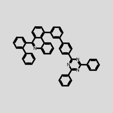 c1ccc(-c2nc(-c3ccccc3)nc(-c3ccc(-c4cccc(-c5cccc6c(-c7ccccc7-c7ccccc7)nc7ccccc7c56)c4)cc3)n2)cc1